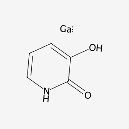 O=c1[nH]cccc1O.[Ga]